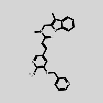 Cc1c(CN(C)C(=O)C=Cc2cnc(N)c(OCc3cccnc3)c2)oc2ccccc12